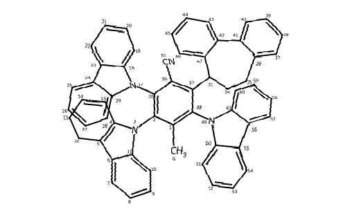 Cc1c(-n2c3c(c4ccccc42)CCC=C3)c(-n2c3ccccc3c3ccccc32)c(C#N)c(C2CCc3ccccc3-c3ccccc32)c1-n1c2ccccc2c2ccccc21